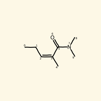 CCC=C(C)C(=O)N(C)C